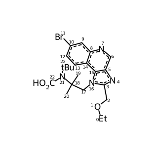 CCOCc1nc2cnc3cc(Br)ccc3c2n1CC(C)(C)N(C(=O)O)C(C)(C)C